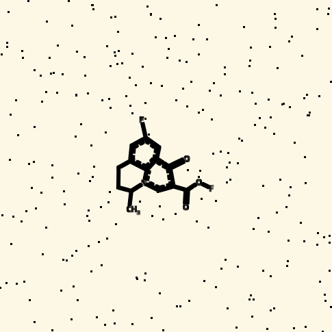 CC1CCc2cc(F)cc3c(=O)c(C(=O)OF)cn1c23